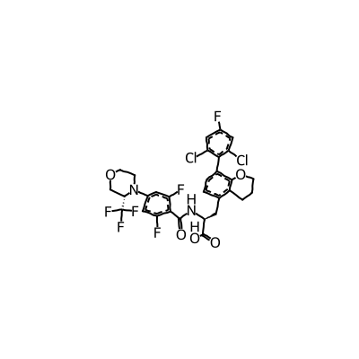 O=C(N[C@@H](Cc1ccc(-c2c(Cl)cc(F)cc2Cl)c2c1CCCO2)C(=O)O)c1c(F)cc(N2CCOC[C@H]2C(F)(F)F)cc1F